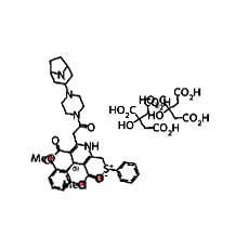 COC(=O)C1=C(CC(=O)N2CCN(C3CC4CCC(C3)N4C)CC2)NC(C[S+]([O-])c2ccccc2)=C(C(=O)OC)[C@H]1c1c(Cl)cccc1Cl.O=C(O)CC(O)(CC(=O)O)C(=O)O.O=C(O)CC(O)(CC(=O)O)C(=O)O